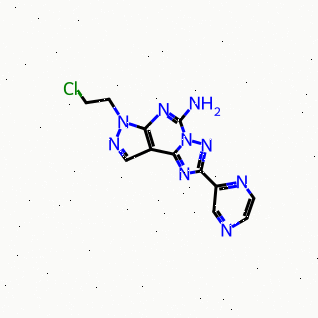 Nc1nc2c(cnn2CCCl)c2nc(-c3cnccn3)nn12